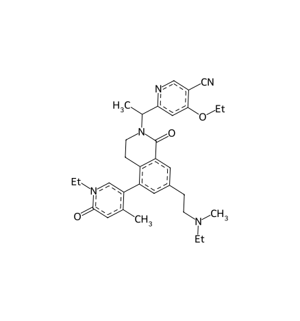 CCOc1cc(C(C)N2CCc3c(cc(CCN(C)CC)cc3-c3cn(CC)c(=O)cc3C)C2=O)ncc1C#N